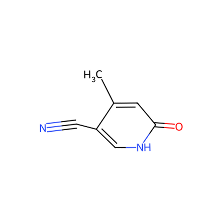 Cc1cc(=O)[nH]cc1C#N